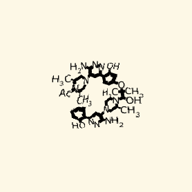 CC(=O)N1[C@@H](C)CN(c2cc(-c3ccc(OC(C)(C)C(O)N4CCN(c5cc(-c6ccccc6O)nnc5N)C[C@@H]4C)cc3O)nnc2N)C[C@@H]1C